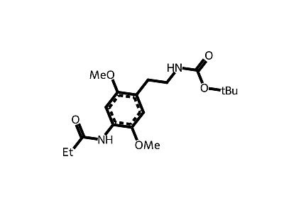 [CH2]CC(=O)Nc1cc(OC)c(CCNC(=O)OC(C)(C)C)cc1OC